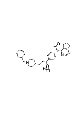 CC(=O)N(c1ccc(C(=O)CCC2CCN(Cc3ccccc3)CC2)cc1)c1ncnc2c1CCC2.Cl.Cl